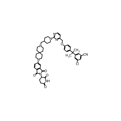 CC(C)(c1ccc(OCc2ccnc(N3CCC(CN4CCC5(CC4)CCN(c4ccc6c(c4)C(=O)N(C4CCC(=O)NC4=O)C6=O)CC5)CC3)n2)cc1)c1cc(Cl)cc(C#N)c1